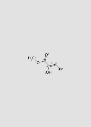 COC(=O)/C(O)=C/Br